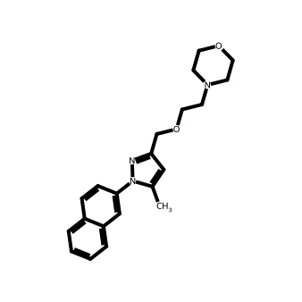 Cc1cc(COCCN2CCOCC2)nn1-c1ccc2ccccc2c1